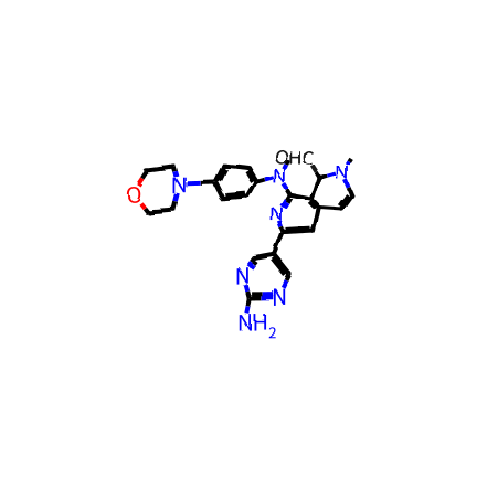 CN(c1ccc(N2CCOCC2)cc1)c1nc(-c2cnc(N)nc2)cc2c1C(C=O)N(C)C=C2